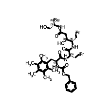 CC[C@H](C)[C@@H](CO)NC(=O)C[C@H](O)[C@H](CC(C)C)NC(=O)[C@H](CC(C)C)NC(=O)[C@H](Cc1c(C)c(C)c(C)c(C)c1C)NC(=O)OCc1ccccc1